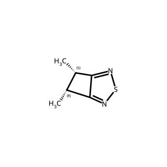 C[C@@H]1c2nsnc2[C@@H]1C